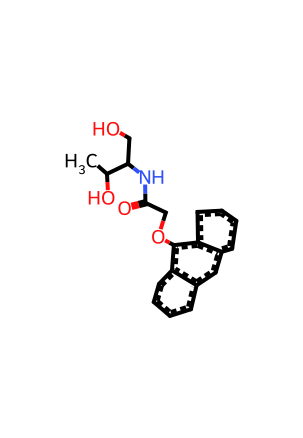 CC(O)C(CO)NC(=O)COc1c2ccccc2cc2ccccc12